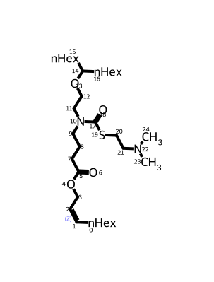 CCCCCC/C=C\COC(=O)CCCN(CCOC(CCCCCC)CCCCCC)C(=O)SCCN(C)C